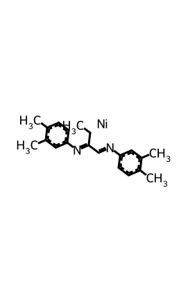 CCC(/C=N/c1ccc(C)c(C)c1)=N\c1ccc(C)c(C)c1.[Ni]